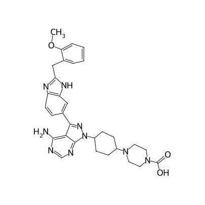 COc1ccccc1Cc1nc2ccc(-c3nn(C4CCC(N5CCN(C(=O)O)CC5)CC4)c4ncnc(N)c34)cc2[nH]1